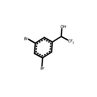 OC(c1cc(Br)cc(Br)c1)C(F)(F)F